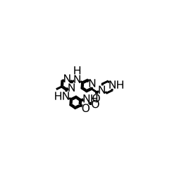 Cc1cnc(Nc2ccc(C(=O)N3CCNCC3)nc2)nc1Nc1ccc2oc(=O)[nH]c2c1